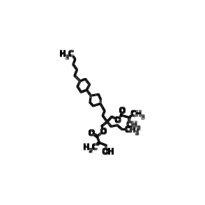 C=C(C)C(=O)OCC(CCCC)(CCC1CCC(C2CCC(CCCCC)CC2)CC1)COC(=O)C(=C)CO